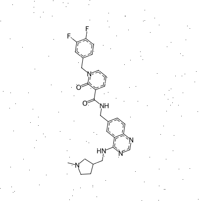 CN1CCC(CNc2ncnc3ccc(CNC(=O)c4cccn(Cc5ccc(F)c(F)c5)c4=O)cc23)C1